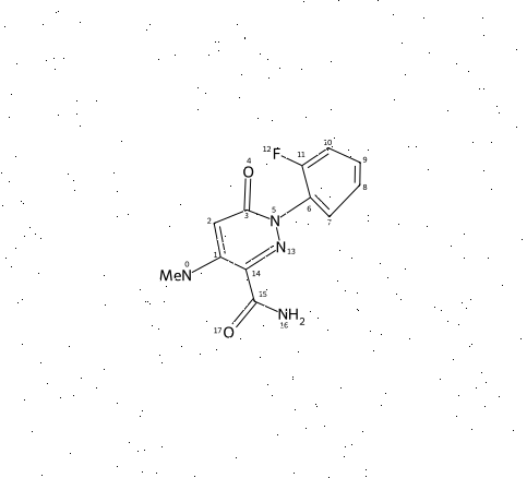 CNc1cc(=O)n(-c2ccccc2F)nc1C(N)=O